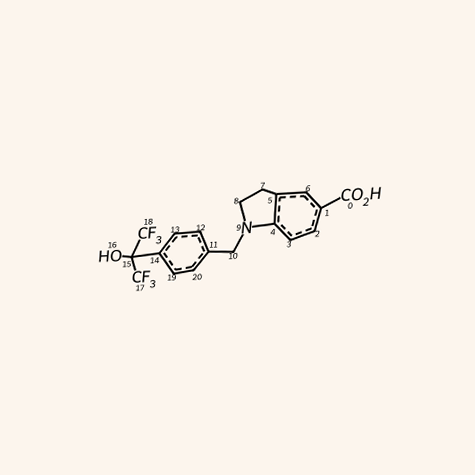 O=C(O)c1ccc2c(c1)CCN2Cc1ccc(C(O)(C(F)(F)F)C(F)(F)F)cc1